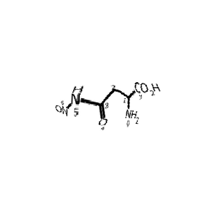 NC(CC(=O)NN=O)C(=O)O